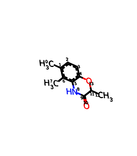 Cc1ccc2c(c1C)NC(=O)C(C)O2